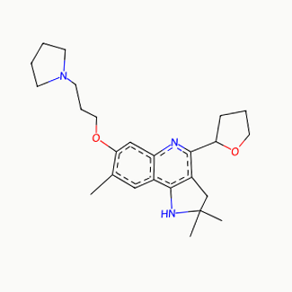 Cc1cc2c3c(c(C4CCCO4)nc2cc1OCCCN1CCCC1)CC(C)(C)N3